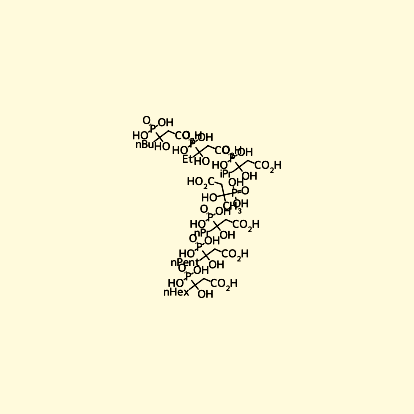 CC(C)C(O)(CC(=O)O)P(=O)(O)O.CC(O)(CC(=O)O)P(=O)(O)O.CCC(O)(CC(=O)O)P(=O)(O)O.CCCC(O)(CC(=O)O)P(=O)(O)O.CCCCC(O)(CC(=O)O)P(=O)(O)O.CCCCCC(O)(CC(=O)O)P(=O)(O)O.CCCCCCC(O)(CC(=O)O)P(=O)(O)O